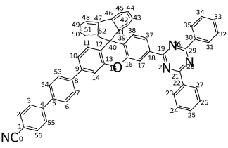 N#Cc1ccc(-c2ccc(-c3ccc4c(c3)Oc3cc(-c5nc(-c6ccccc6)nc(-c6ccccc6)n5)ccc3C43c4ccccc4-c4ccccc43)cc2)cc1